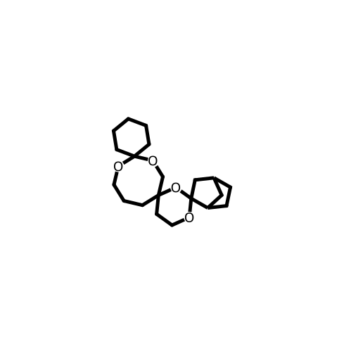 C1CCC2(CC1)OCCCC1(CCOC3(CC4CCC3C4)O1)CO2